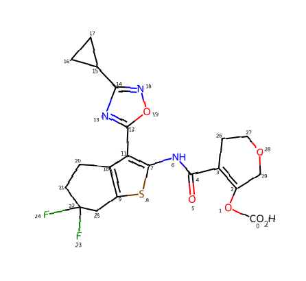 O=C(O)OC1=C(C(=O)Nc2sc3c(c2-c2nc(C4CC4)no2)CCC(F)(F)C3)CCOC1